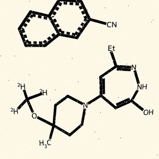 N#Cc1ccc2ccccc2c1.[2H]C([2H])([2H])OC1(C)CCN(C2=CC(CC)=NNC(O)=C2)CC1